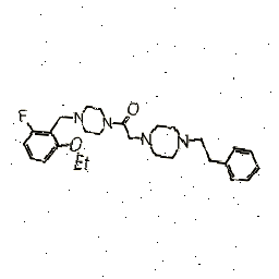 CCOc1cccc(F)c1CN1CCN(C(=O)CN2CCN(CCc3ccccc3)CC2)CC1